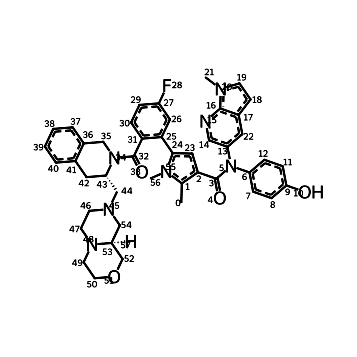 Cc1c(C(=O)N(c2ccc(O)cc2)c2cnc3c(ccn3C)c2)cc(-c2cc(F)ccc2C(=O)N2Cc3ccccc3C[C@H]2CN2CCN3CCOC[C@@H]3C2)n1C